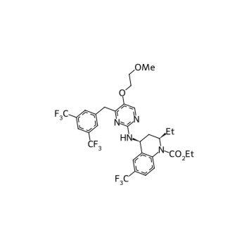 CCOC(=O)N1c2ccc(C(F)(F)F)cc2[C@@H](Nc2ncc(OCCOC)c(Cc3cc(C(F)(F)F)cc(C(F)(F)F)c3)n2)C[C@H]1CC